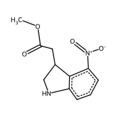 COC(=O)CC1CNc2cccc([N+](=O)[O-])c21